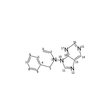 C=CN(Cc1ccccc1)n1cnc2cncnc21